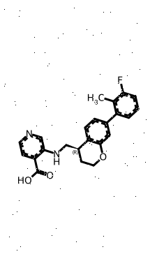 Cc1c(F)cccc1-c1ccc2c(c1)OCC[C@H]2CNc1cnccc1C(=O)O